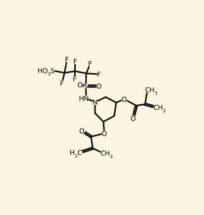 C=C(C)C(=O)OC1CC(OC(=O)C(=C)C)CN(NS(=O)(=O)C(F)(F)C(F)(F)C(F)(F)S(=O)(=O)O)C1